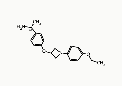 CCOc1ccc(N2CC(Oc3ccc([C@H](C)N)cc3)C2)cc1